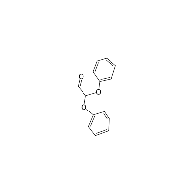 O=CC(Oc1ccccc1)Oc1ccccc1